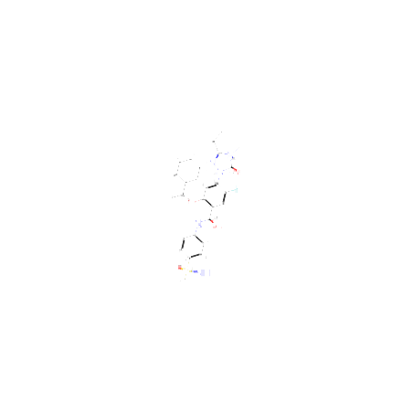 CCc1nn(-c2cc(OC(C)C3CCCCC3)c(C(=O)Nc3ccc(S(C)(=N)=O)cc3)cc2F)c(=O)n1C